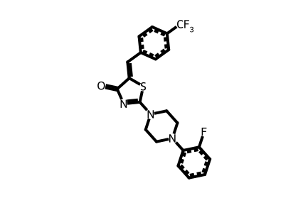 O=C1N=C(N2CCN(c3ccccc3F)CC2)S/C1=C\c1ccc(C(F)(F)F)cc1